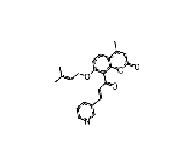 CC(C)=CCOc1ccc2c(C)cc(=O)oc2c1C(=O)C=Cc1cccnc1